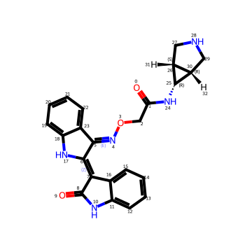 O=C(CO/N=C1/C(=C2/C(=O)Nc3ccccc32)Nc2ccccc21)N[C@@H]1[C@@H]2CNC[C@@H]21